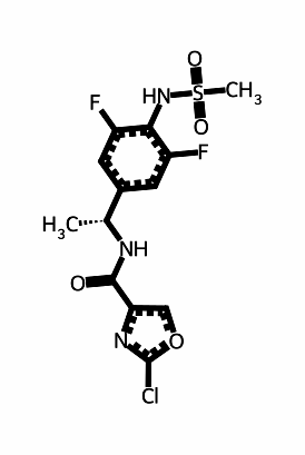 C[C@@H](NC(=O)c1coc(Cl)n1)c1cc(F)c(NS(C)(=O)=O)c(F)c1